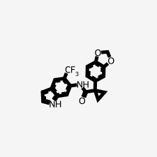 O=C(Nc1cc2[nH]ccc2cc1C(F)(F)F)C1(c2ccc3c(c2)OCO3)CC1